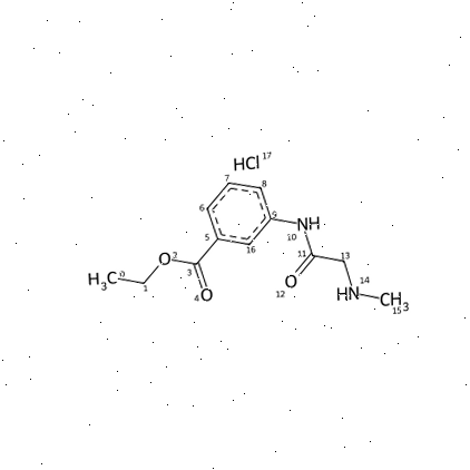 CCOC(=O)c1cccc(NC(=O)CNC)c1.Cl